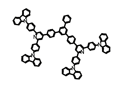 c1ccc(-c2cc(-c3ccc(-c4cc(-c5ccc(-n6c7ccccc7c7ccccc76)cc5)nc(-c5ccc(-n6c7ccccc7c7ccccc76)cc5)c4)cc3)cc(-c3ccc(-c4cc(-c5ccc(-n6c7ccccc7c7ccccc76)cc5)nc(-c5ccc(-n6c7ccccc7c7ccccc76)cc5)c4)cc3)c2)cc1